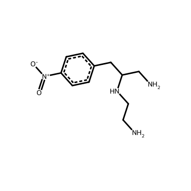 NCCNC(CN)Cc1ccc([N+](=O)[O-])cc1